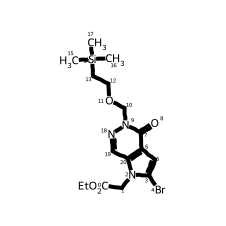 CCOC(=O)Cn1c(Br)cc2c(=O)n(COCC[Si](C)(C)C)ncc21